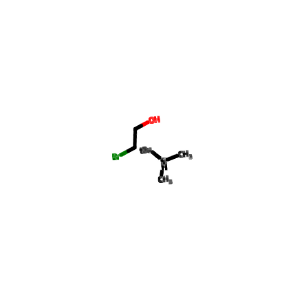 C[SiH](C)C(C)(C)C.OCCBr